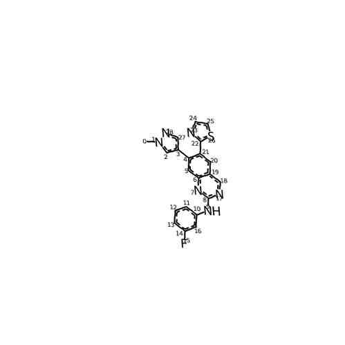 Cn1cc(-c2cc3nc(Nc4cccc(F)c4)ncc3cc2-c2nccs2)cn1